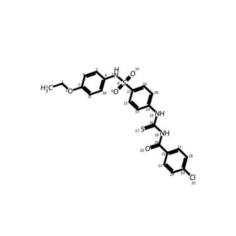 CCOc1ccc(NS(=O)(=O)c2ccc(NC(=S)NC(=O)c3ccc(Cl)cc3)cc2)cc1